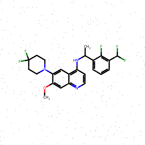 COc1cc2nccc(NC(C)c3cccc(C(F)F)c3F)c2cc1N1CCC(F)(F)CC1